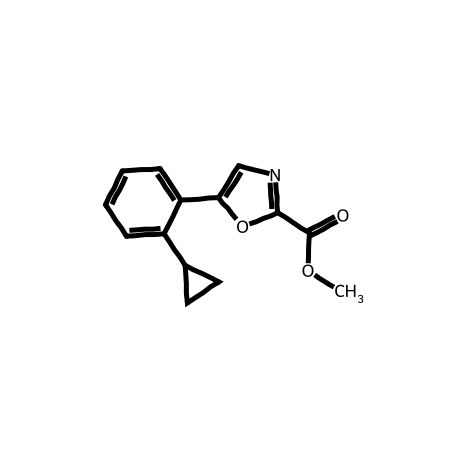 COC(=O)c1ncc(-c2ccccc2C2CC2)o1